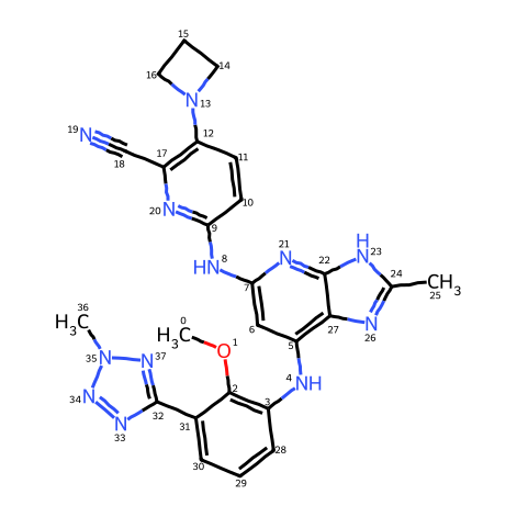 COc1c(Nc2cc(Nc3ccc(N4CCC4)c(C#N)n3)nc3[nH]c(C)nc23)cccc1-c1nnn(C)n1